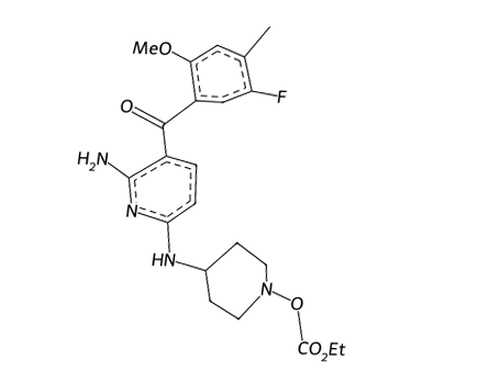 CCOC(=O)ON1CCC(Nc2ccc(C(=O)c3cc(F)c(C)cc3OC)c(N)n2)CC1